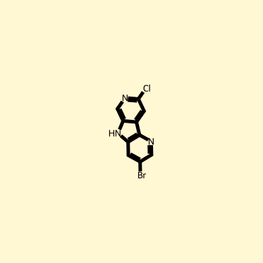 Clc1cc2c(cn1)[nH]c1cc(Br)cnc12